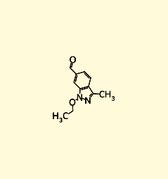 CCOn1nc(C)c2ccc(C=O)cc21